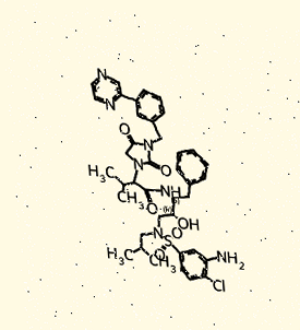 CC(C)CN(C[C@@H](O)[C@H](Cc1ccccc1)NC(=O)C(C(C)C)N1CC(=O)N(Cc2cccc(-c3cnccn3)c2)C1=O)S(=O)(=O)c1ccc(Cl)c(N)c1